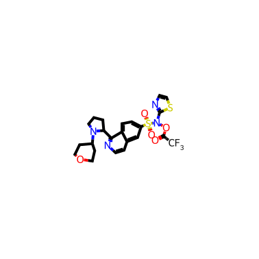 O=C(ON(c1nccs1)S(=O)(=O)c1ccc2c(C3CCCN3C3CCOCC3)nccc2c1)C(F)(F)F